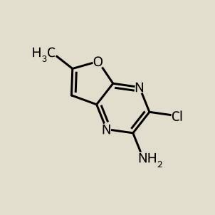 Cc1cc2nc(N)c(Cl)nc2o1